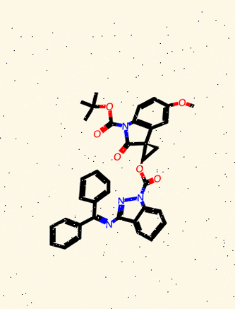 COc1ccc2c(c1)[C@@]1(C[C@@H]1OC(=O)n1nc(N=C(c3ccccc3)c3ccccc3)c3ccccc31)C(=O)N2C(=O)OC(C)(C)C